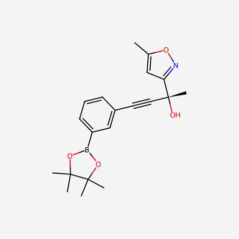 Cc1cc([C@](C)(O)C#Cc2cccc(B3OC(C)(C)C(C)(C)O3)c2)no1